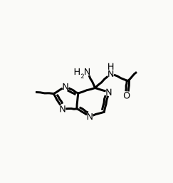 CC(=O)NC1(N)N=CN=C2N=C(C)N=C21